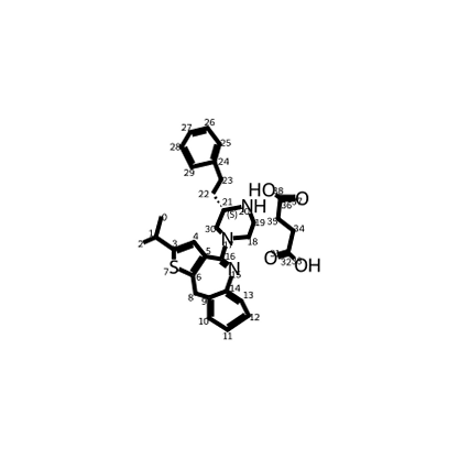 CC(C)c1cc2c(s1)Cc1ccccc1N=C2N1CCN[C@@H](CCc2ccccc2)C1.O=C(O)CCC(=O)O